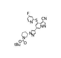 CC(C)(C)OC(=O)N1CCC[C@H](n2cc(-c3cc(Sc4cc(F)ccn4)c4c(C#N)cnn4c3)cn2)C1